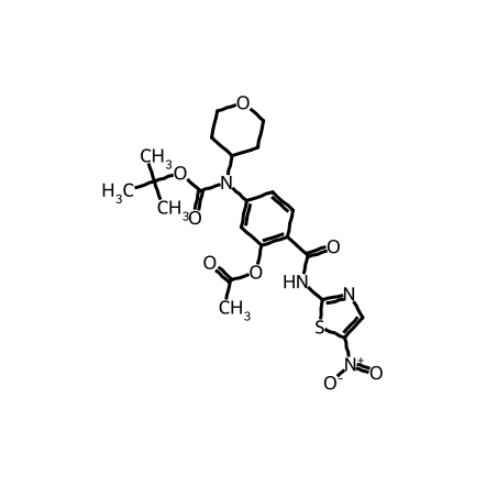 CC(=O)Oc1cc(N(C(=O)OC(C)(C)C)C2CCOCC2)ccc1C(=O)Nc1ncc([N+](=O)[O-])s1